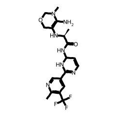 Cc1ncc(C2=NC=CC(NC(=O)[C@H](C)NC3=C(N)N(C)COC3)N2)cc1C(F)(F)F